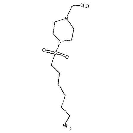 NCCCCCCS(=O)(=O)N1CCN(CC=O)CC1